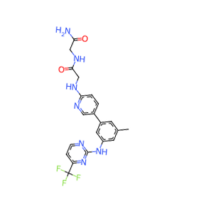 Cc1cc(Nc2nccc(C(F)(F)F)n2)cc(-c2ccc(NCC(=O)NCC(N)=O)nc2)c1